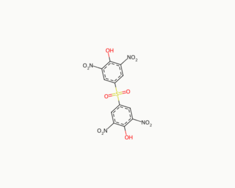 O=[N+]([O-])c1cc(S(=O)(=O)c2cc([N+](=O)[O-])c(O)c([N+](=O)[O-])c2)cc([N+](=O)[O-])c1O